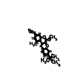 COC(=O)C(=O)N(Cc1ccc(C(C)(C)C)cc1)c1ccc(Br)cc1C